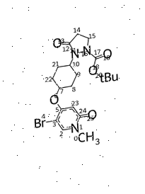 Cn1cc(Br)c(OC2CCC(N3C(=O)CCN3C(=O)OC(C)(C)C)CC2)cc1=O